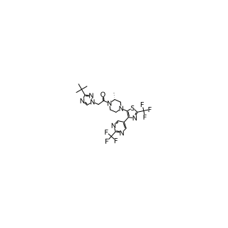 C[C@@H]1CN(c2sc(C(F)(F)F)nc2-c2cnc(C(F)(F)F)nc2)CCN1C(=O)Cn1cnc(C(C)(C)C)n1